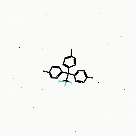 Cc1ccc(C(c2ccc(C)cc2)(c2ccc(C)cc2)C(F)(F)F)cc1